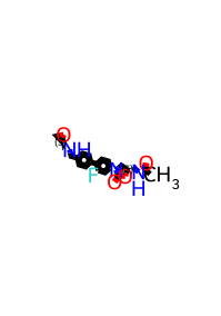 CC(=O)NC[C@H]1CN(c2ccc(-c3ccc(CNC[C@H]4CO4)cc3)c(F)c2)C(=O)O1